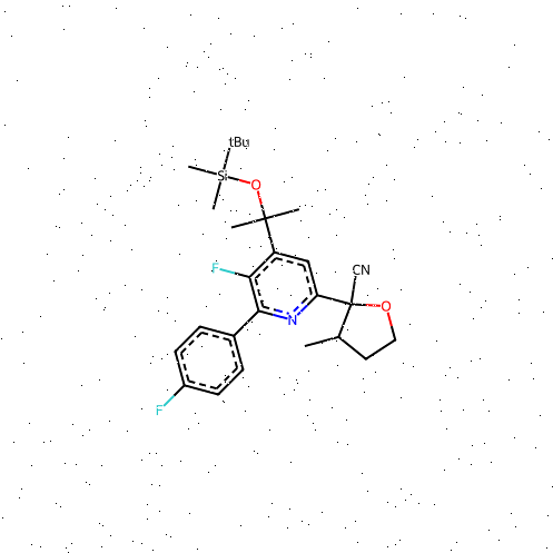 CC1CCOC1(C#N)c1cc(C(C)(C)O[Si](C)(C)C(C)(C)C)c(F)c(-c2ccc(F)cc2)n1